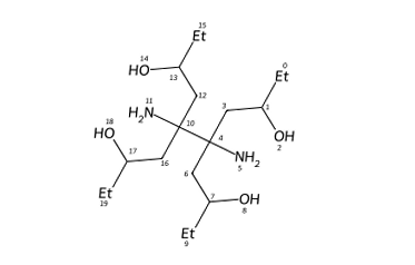 CCC(O)CC(N)(CC(O)CC)C(N)(CC(O)CC)CC(O)CC